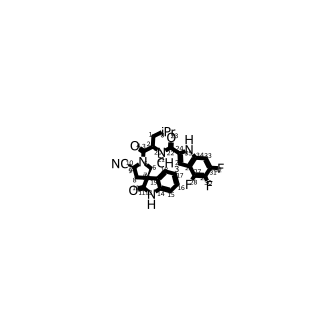 CC(C)CC(C(=O)N1C[C@]2(C[C@H]1C#N)C(=O)Nc1ccccc12)N(C)C(=O)c1cc2c(F)c(F)c(F)cc2[nH]1